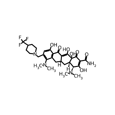 CN(C)c1c(CN2CCC(C(F)(F)F)CC2)cc(O)c2c1C[C@H]1C[C@H]3[C@H](N(C)C)C(O)=C(C(N)=O)C(=O)[C@@]3(O)C(O)=C1C2=O